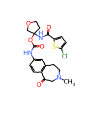 CN1CCc2cc(NC(=O)OC3(NC(=O)c4ccc(Cl)s4)CCOC3)ccc2C(=O)C1